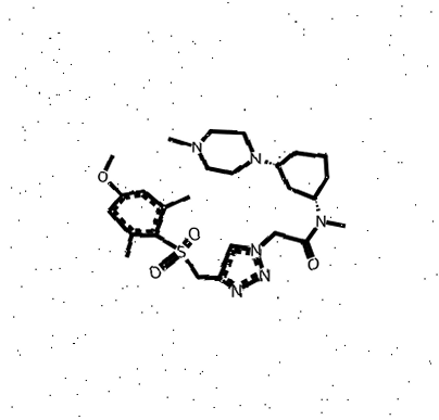 COc1cc(C)c(S(=O)(=O)Cc2cn(CC(=O)N(C)[C@H]3CCC[C@@H](N4CCN(C)CC4)C3)nn2)c(C)c1